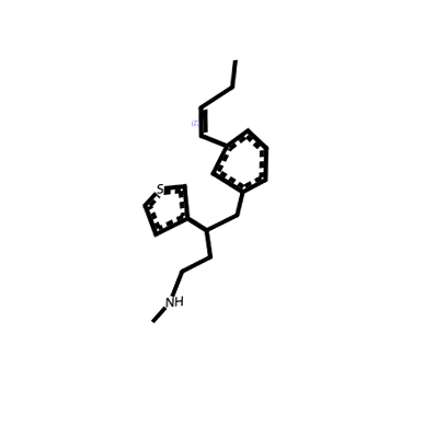 CC/C=C\c1cccc(CC(CCNC)c2ccsc2)c1